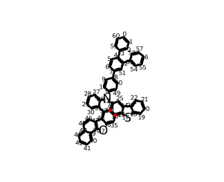 c1ccc(-c2ccc(-c3ccc(N(c4ccc5sc6ccccc6c5c4)c4ccccc4-c4cccc5oc6c7ccccc7ccc6c45)cc3)cc2-c2ccccc2)cc1